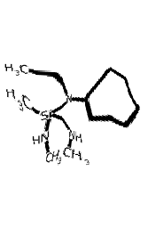 CCN(C1CCCCC1)[Si](C)(NC)NC